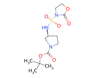 CC(C)(C)OC(=O)N1CC[C@H](NS(=O)(=O)N2CCOC2=O)C1